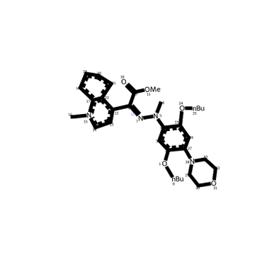 CCCCOc1cc(N(C)/N=C(\C(=O)OC)c2cc[n+](C)c3ccccc23)c(OCCCC)cc1N1CCOCC1